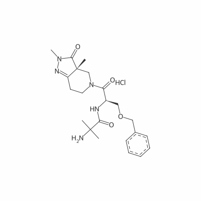 CN1N=C2CCN(C(=O)[C@@H](COCc3ccccc3)NC(=O)C(C)(C)N)C[C@@]2(C)C1=O.Cl